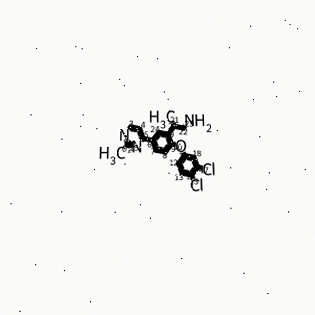 Cc1nccc(-c2ccc(Oc3ccc(Cl)c(Cl)c3)c(C(C)CN)c2)n1